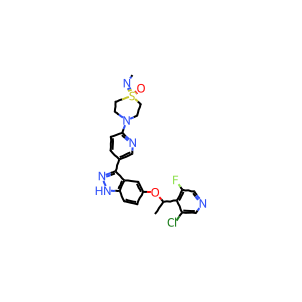 CN=S1(=O)CCN(c2ccc(-c3n[nH]c4ccc(OC(C)c5c(F)cncc5Cl)cc34)cn2)CC1